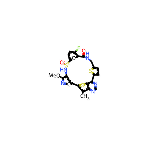 COc1ncc2cc1N[S+]([O-])c1ccc(F)c(c1)C(=O)NCc1ccc(s1)-c1ncnc3c(C)c-2sc13